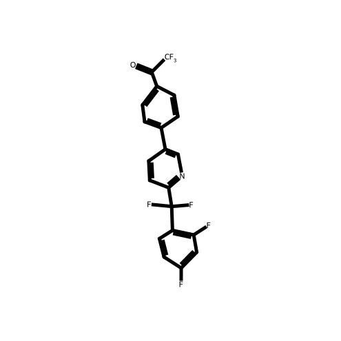 O=C(c1ccc(-c2ccc(C(F)(F)c3ccc(F)cc3F)nc2)cc1)C(F)(F)F